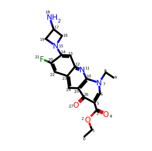 CCOC(=O)c1cn(CC)c2nc3cc(N4CC(N)C4)c(F)cc3cc2c1=O